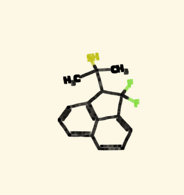 CC(C)(S)C1c2cccc3cccc(c23)C1(F)F